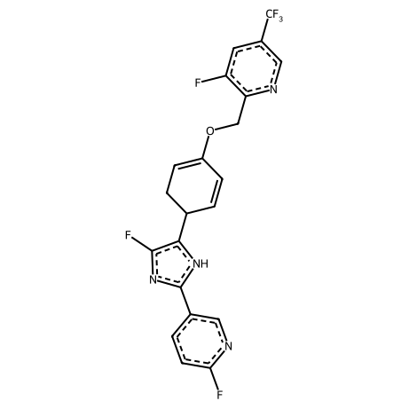 Fc1ccc(-c2nc(F)c(C3C=CC(OCc4ncc(C(F)(F)F)cc4F)=CC3)[nH]2)cn1